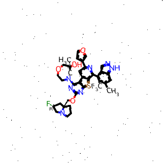 Cc1cc2[nH]ncc2c(-c2nc(-c3ccoc3)cc3c2sc2nc(OC[C@@]45CCCN4C[C@H](F)C5)nc(N4CCOC[C@@](C)(O)C4)c23)c1C(F)(F)F